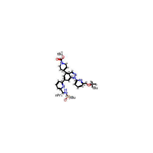 CCC[C@@H](N[S@+]([O-])C(C)(C)C)c1cccc(-c2cc(C3=CCN(C(=O)OC(C)(C)C)CC3)c3cnn(-c4cccc(CO[Si](C)(C)C(C)(C)C)n4)c3c2)n1